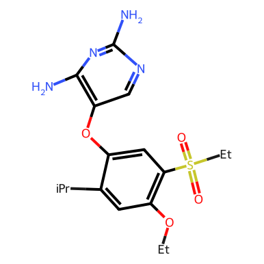 CCOc1cc(C(C)C)c(Oc2cnc(N)nc2N)cc1S(=O)(=O)CC